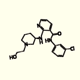 O=C(Nc1cccc(Cl)c1)c1cccnc1N[C@@H]1CCCN(CCO)C1